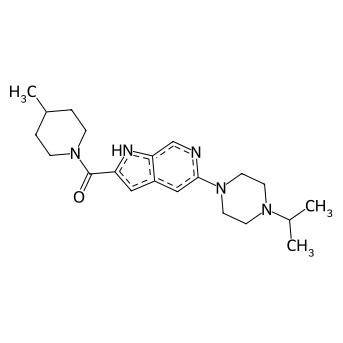 CC1CCN(C(=O)c2cc3cc(N4CCN(C(C)C)CC4)ncc3[nH]2)CC1